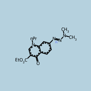 CCCn1cc(C(=O)OCC)c(=O)c2ccc(/N=N/N(C)C)cc21